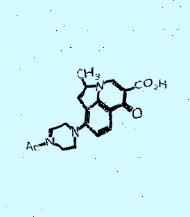 CC(=O)N1CCN(c2ccc3c(=O)c(C(=O)O)cn4c3c2CC4C)CC1